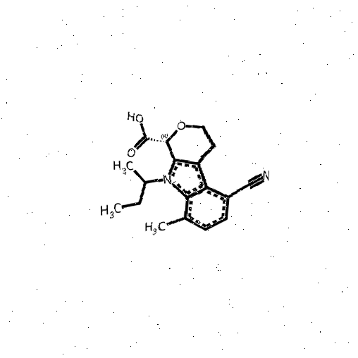 CCC(C)n1c2c(c3c(C#N)ccc(C)c31)CCO[C@H]2C(=O)O